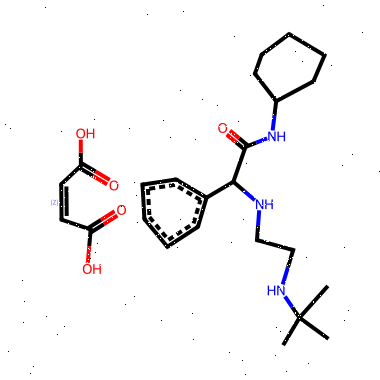 CC(C)(C)NCCNC(C(=O)NC1CCCCC1)c1ccccc1.O=C(O)/C=C\C(=O)O